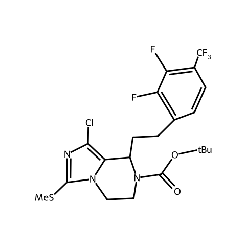 CSc1nc(Cl)c2n1CCN(C(=O)OC(C)(C)C)C2CCc1ccc(C(F)(F)F)c(F)c1F